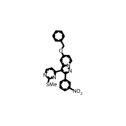 CSc1nccc(-c2c(-c3cccc([N+](=O)[O-])c3)nn3ccc(OCc4ccccc4)cc23)n1